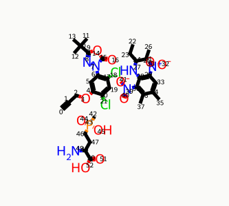 C#CCOc1cc(-n2nc(C(C)(C)C)oc2=O)c(Cl)cc1Cl.CCC(CC)Nc1c([N+](=O)[O-])cc(C)c(C)c1[N+](=O)[O-].CP(=O)(O)CCC(N)C(=O)O